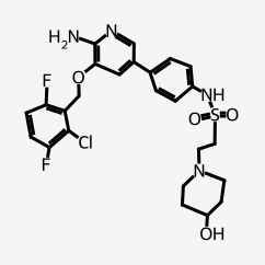 Nc1ncc(-c2ccc(NS(=O)(=O)CCN3CCC(O)CC3)cc2)cc1OCc1c(F)ccc(F)c1Cl